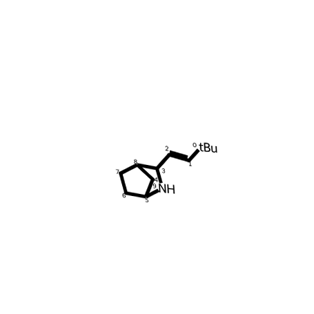 CC(C)(C)/C=C/C1NC2CCC1C2